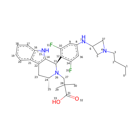 CCCCN1CC(Nc2cc(F)c([C@@H]3c4[nH]c5ccccc5c4C[C@@H](C)N3CC(C)(C)C(=O)O)c(F)c2)C1